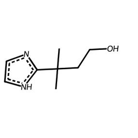 CC(C)(CCO)c1ncc[nH]1